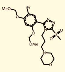 COCOc1cc(OCOC)c(C(C)C)cc1-c1nnc(S(C)(=O)=O)n1CCCN1CCOCC1